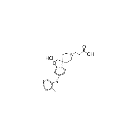 Cc1ccccc1Sc1ccc2c(c1)OCC21CCN(CCC(=O)O)CC1.Cl